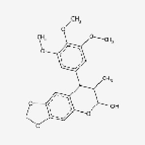 COc1cc(C2c3cc4c(cc3OC(O)C2C)OCO4)cc(OC)c1OC